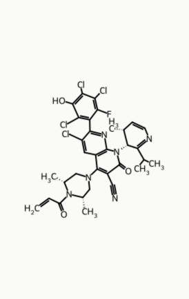 C=CC(=O)N1[C@H](C)CN(c2c(C#N)c(=O)n([C@H]3C(C(C)C)=NC=C[C@H]3C)c3nc(-c4c(F)c(Cl)c(Cl)c(O)c4Cl)c(Cl)cc23)C[C@@H]1C